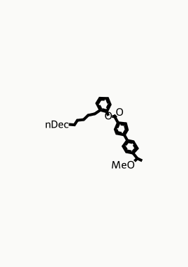 CCCCCCCCCCCCCCCc1ccccc1OC(=O)c1ccc(-c2ccc(C(C)OC)cc2)cc1